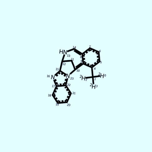 [2H]C([2H])([2H])c1cccc2c1=C1CC(NC=2)c2nc3ccccc3n21